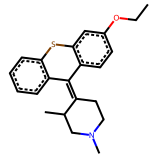 CCOc1ccc2c(c1)Sc1ccccc1/C2=C1/CCN(C)CC1C